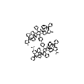 CC1=CC=CC(N(c2ccccc2)c2cccc3c2c2cccc4c5c(-c6ccccc6)c6c(c(-c7ccc(-c8ccc(-c9c%10c%11cccc%12c%13c(N(c%14ccccc%14)c%14ccc(C(C)C)cc%14)cccc%13n(c%10c(-c%10ccccc%10)c%10c%13cccc%14c%15c(N(c%16ccccc%16)c%16ccc(C(C)C)cc%16)cccc%15n(c9%10)c%14%13)c%12%11)cc8)cc7)c5n3c24)c2cccc3c4c(N(c5ccccc5)c5cccc(C)c5)cccc4n6c32)C1